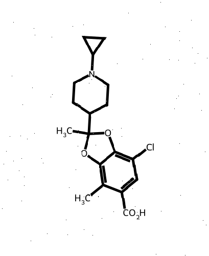 Cc1c(C(=O)O)cc(Cl)c2c1OC(C)(C1CCN(C3CC3)CC1)O2